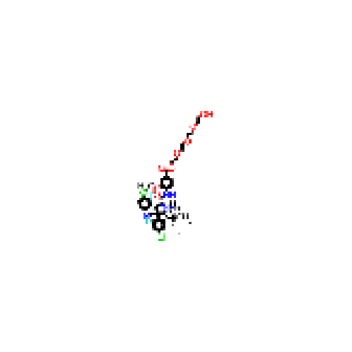 COc1cc(C(=O)OCCOCCOCCOCCO)ccc1NC(=O)[C@@H]1N[C@@H](CC(C)(C)C)[C@](C#N)(c2ccc(Cl)cc2F)[C@H]1c1cccc(Cl)c1F